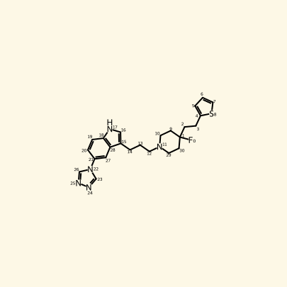 FC1(CCc2cccs2)CCN(CCCc2c[nH]c3ccc(-n4cnnc4)cc23)CC1